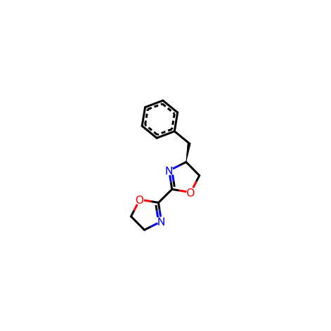 c1ccc(C[C@H]2COC(C3=NCCO3)=N2)cc1